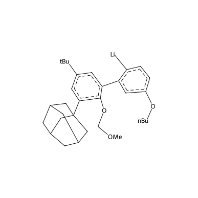 [Li][c]1ccc(OCCCC)cc1-c1cc(C(C)(C)C)cc(C23CC4CC(CC(C4)C2)C3)c1OCOC